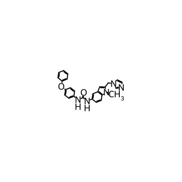 Cn1c(Cn2ccnc2)cc2cc(NC(=O)Nc3ccc(Oc4ccccc4)cc3)ccc21